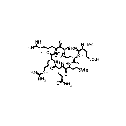 CCCCCCNC(=O)[C@H](CCCNC(=N)N)NC(=O)[C@H](CCCNC(=N)N)NC(=O)[C@H](CCC(N)=O)NC(=O)[C@H](CCSC)NC(=O)[C@H](CCC(=O)O)NC(=O)[C@H](CCC(=O)O)NC(C)=O